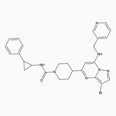 O=C(NC1CC1c1ccccc1)N1CCC(c2cc(NCc3cccnc3)n3ncc(Br)c3n2)CC1